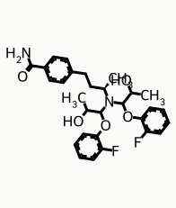 CC(O)C(Oc1ccccc1F)N(C(Oc1ccccc1F)C(C)O)[C@H](C)CCc1ccc(C(N)=O)cc1